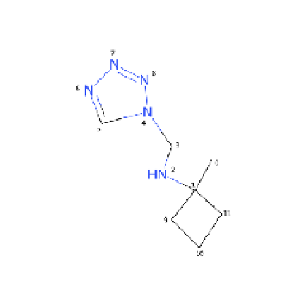 CC1(NCn2cnnn2)CCC1